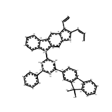 C=Cc1c(/C=C\C)oc2cc3c(cc12)c1ccccc1n3-c1nc(-c2ccccc2)nc(-c2ccc3c(c2)C(C)(C)c2ccccc2-3)n1